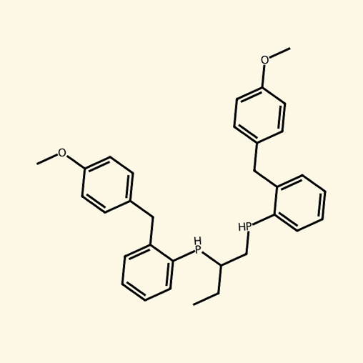 CCC(CPc1ccccc1Cc1ccc(OC)cc1)Pc1ccccc1Cc1ccc(OC)cc1